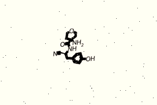 N#C[C@H](Cc1ccc(O)cc1)NC(=O)C1(N)CCOCC1